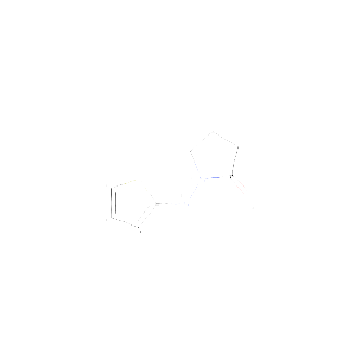 O=C1CCCN1Nc1cccs1